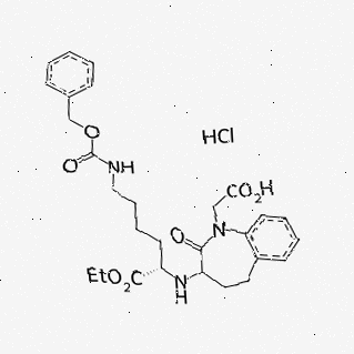 CCOC(=O)[C@H](CCCCNC(=O)OCc1ccccc1)NC1CCc2ccccc2N(CC(=O)O)C1=O.Cl